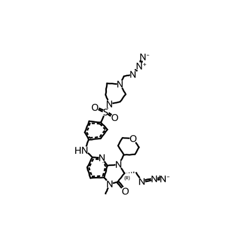 CN1C(=O)[C@@H](CN=[N+]=[N-])N(C2CCOCC2)c2nc(Nc3ccc(S(=O)(=O)N4CCN(CN=[N+]=[N-])CC4)cc3)ccc21